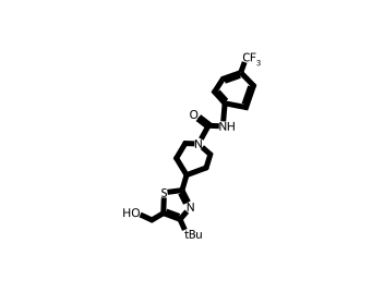 CC(C)(C)c1nc(C2CCN(C(=O)Nc3ccc(C(F)(F)F)cc3)CC2)sc1CO